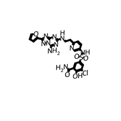 NC(=O)c1cc(S(=O)(=O)Nc2ccc(CCNc3nc(N)n4nc(-c5ccco5)nc4n3)nc2)cc(Cl)c1O